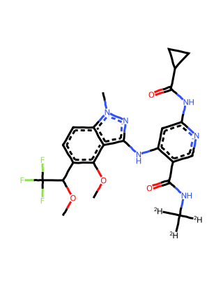 [2H]C([2H])([2H])NC(=O)c1cnc(NC(=O)C2CC2)cc1Nc1nn(C)c2ccc(C(OC)C(F)(F)F)c(OC)c12